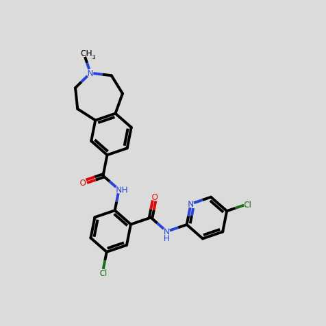 CN1CCc2ccc(C(=O)Nc3ccc(Cl)cc3C(=O)Nc3ccc(Cl)cn3)cc2CC1